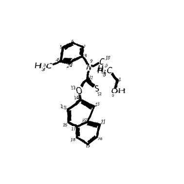 CCO.Cc1cccc(N(C)C(=S)Oc2ccc3ccccc3c2)c1